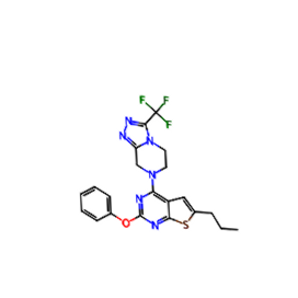 CCCc1cc2c(N3CCn4c(nnc4C(F)(F)F)C3)nc(Oc3ccccc3)nc2s1